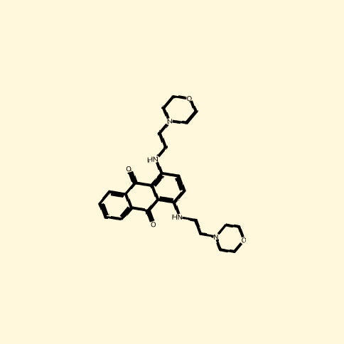 O=C1c2ccccc2C(=O)c2c(NCCN3CCOCC3)ccc(NCCN3CCOCC3)c21